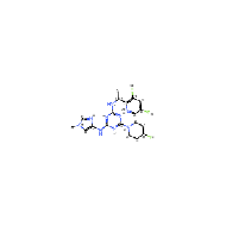 C[C@H](Nc1nc(Nc2cn(C)cn2)nc(N2CCC(F)CC2)n1)c1ncc(F)cc1F